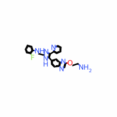 NCCOc1cnc2ccc(-c3[nH]c(CNc4ccccc4F)nc3-c3ccccn3)cc2n1